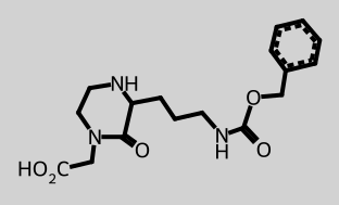 O=C(O)CN1CCNC(CCCNC(=O)OCc2ccccc2)C1=O